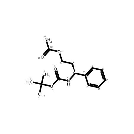 CC(C)(C)OC(=O)N[C@@H](CCOC(N)=O)c1ccccc1